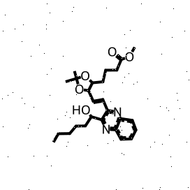 CCCCCC(O)c1nc2ccccc2nc1/C=C/C1OC(C)(C)OC1CCCC(=O)OC